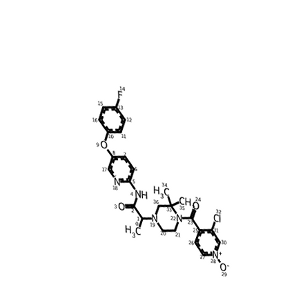 CC(C(=O)Nc1ccc(Oc2ccc(F)cc2)cn1)N1CCN(C(=O)c2cc[n+]([O-])cc2Cl)C(C)(C)C1